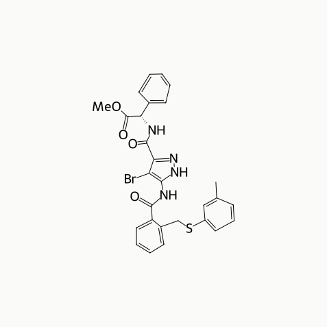 COC(=O)[C@@H](NC(=O)c1n[nH]c(NC(=O)c2ccccc2CSc2cccc(C)c2)c1Br)c1ccccc1